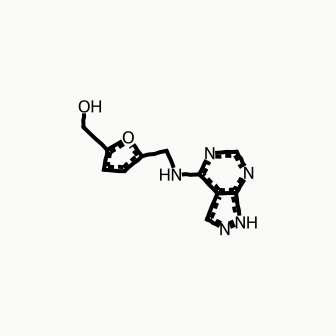 OCc1ccc(CNc2ncnc3[nH]ncc23)o1